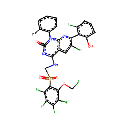 CC(C)c1ccccc1-n1c(=O)nc(NCS(=O)(=O)c2c(F)c(F)c(F)c(F)c2OCF)c2cc(F)c(-c3c(O)cccc3F)nc21